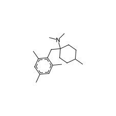 Cc1cc(C)c(CC2(N(C)C)CCC(C)CC2)c(C)c1